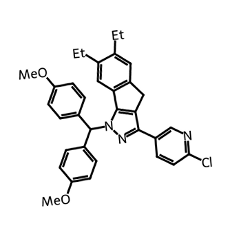 CCc1cc2c(cc1CC)-c1c(c(-c3ccc(Cl)nc3)nn1C(c1ccc(OC)cc1)c1ccc(OC)cc1)C2